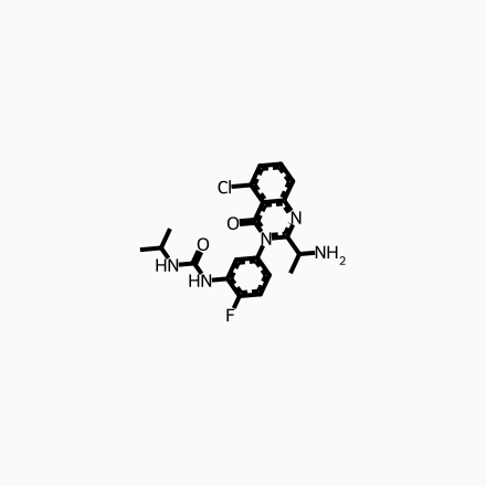 CC(C)NC(=O)Nc1cc(-n2c(C(C)N)nc3cccc(Cl)c3c2=O)ccc1F